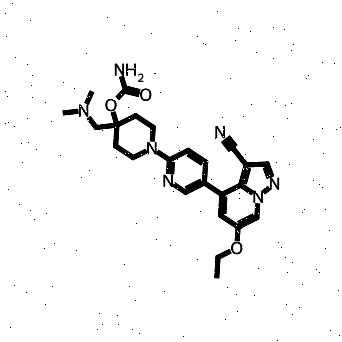 CCOc1cc(-c2ccc(N3CCC(CN(C)C)(OC(N)=O)CC3)nc2)c2c(C#N)cnn2c1